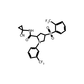 N#CC1(NC(=O)C2CC(S(=O)(=O)c3ccccc3C(F)(F)F)CN2c2cccc(C(F)(F)F)c2)CC1